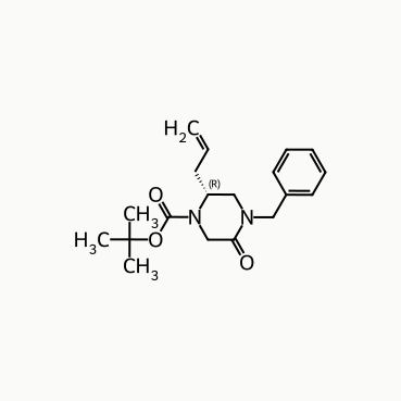 C=CC[C@@H]1CN(Cc2ccccc2)C(=O)CN1C(=O)OC(C)(C)C